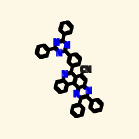 N#Cc1cc2nc(-c3ccccc3)c(-c3ccccc3)nc2c2c1c(-c1cccc(-c3nc(-c4ccccc4)nc(-c4ccccc4)n3)c1)nc1ccccc12